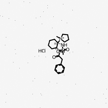 C[N+]1([C@]2(NS(C)(=O)=O)CCCC[C@H]2NC(=O)Cc2ccccc2)CCCC1.Cl